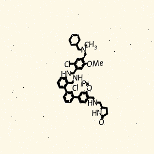 COc1cc(CNc2cccc(-c3cccc(-c4ccc(CNCC5CCC(=O)N5)c(OC(C)C)c4)c3Cl)c2C=N)c(Cl)cc1CN(C)CC1CCCCC1